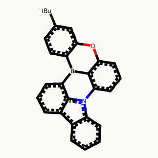 CC(C)(C)c1ccc2c(c1)Oc1cccc3c1B2c1cccc2c4ccccc4n-3c12